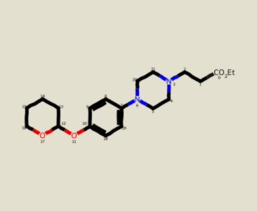 CCOC(=O)CCN1CCN(c2ccc(OC3CCCCO3)cc2)CC1